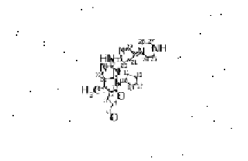 Cc1c(CCC=O)c(=O)n(C2CCCC2)c2nc(Nc3ccc(N4CCNCC4)cn3)ncc12